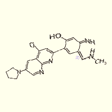 CN/C=C1/C=C(c2cc(Cl)c3cc(N4CCCC4)cnc3n2)C(O)=CC1=N